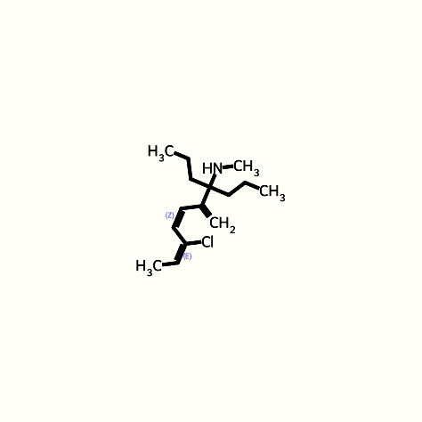 C=C(/C=C\C(Cl)=C/C)C(CCC)(CCC)NC